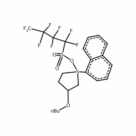 CCCCOC1CCS(OS(=O)(=O)C(F)(F)C(F)(F)C(F)(F)C(F)(F)F)(c2cccc3ccccc23)C1